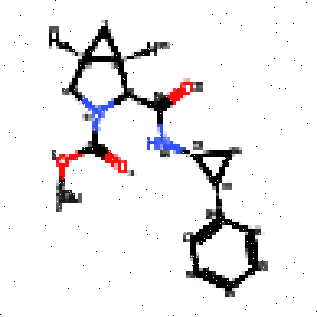 CC(C)(C)OC(=O)N1C[C@H]2C[C@H]2[C@H]1C(=O)N[C@H]1C[C@@H]1c1ccccc1